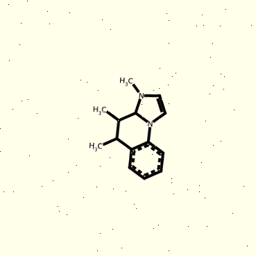 CC1c2ccccc2N2C=CN(C)C2C1C